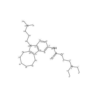 CCN(CC)CCOC(=O)Nc1ccc2c(c1)c1c(n2CCCN(C)C)CCCCCC1